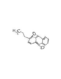 CCCc1ccc2c3oc4cccc(c5oc1c25)c43